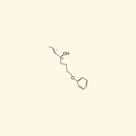 C/C=C/[C@@H](O)CCCCOc1ccccc1